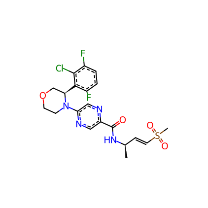 C[C@H](/C=C/S(C)(=O)=O)NC(=O)c1cnc(N2CCOC[C@H]2c2c(F)ccc(F)c2Cl)cn1